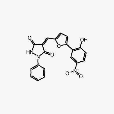 O=C1NN(c2ccccc2)C(=O)/C1=C\c1ccc(-c2cc([N+](=O)[O-])ccc2O)o1